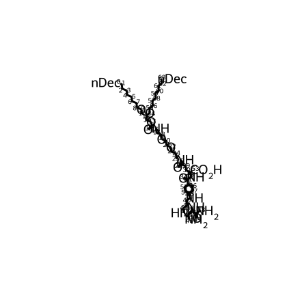 CCCCCCCCCCCCCCCCCCOC[C@H](COC(=O)NCCOCCOCCCNC(=O)CC[C@@H](NC(=O)c1ccc(NCC2CNC(N)=C(C(N)=O)N2)cc1)C(=O)O)OCCCCCCCCCCCCCCCCCC